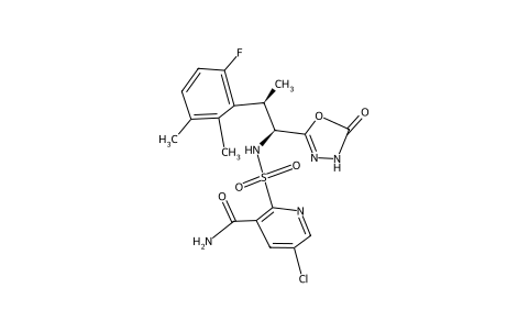 Cc1ccc(F)c([C@@H](C)[C@H](NS(=O)(=O)c2ncc(Cl)cc2C(N)=O)c2n[nH]c(=O)o2)c1C